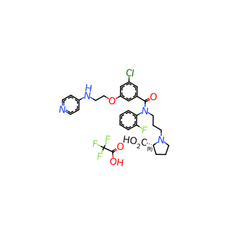 O=C(O)C(F)(F)F.O=C(O)[C@H]1CCCN1CCCN(C(=O)c1cc(Cl)cc(OCCNc2ccncc2)c1)c1ccccc1F